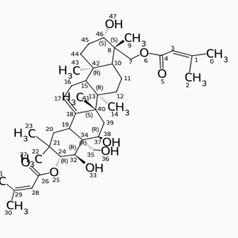 CC(C)=CC(=O)OC[C@]1(C)C2CC[C@]3(C)C(CC=C4C5CC(C)(C)[C@@H](OC(=O)C=C(C)C)[C@H](O)[C@]5(CO)[C@H](O)C[C@]43C)[C@@]2(C)CC[C@@H]1O